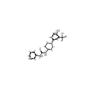 FC(F)(F)c1cc(N2CCC(NC(=S)Nc3cccnc3)CC2)ncc1Cl